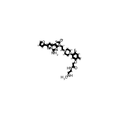 CNCCNC(=O)COc1cc(N2CCN(CCn3c(=O)sc4c3nc(N)n3nc(-c5ccco5)cc43)CC2)c(F)cc1F